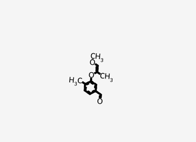 CO/C=C(/C)Oc1cc(C=O)ccc1C